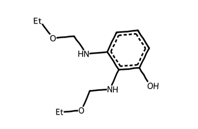 CCOCNc1cccc(O)c1NCOCC